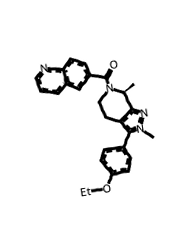 CCOc1ccc(-c2c3c(nn2C)[C@H](C)N(C(=O)c2ccc4ncccc4c2)CC3)cc1